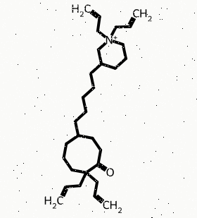 C=CCC1(CC=C)CCCC(CCCCCC2CCC[N+](CC=C)(CC=C)C2)CCC1=O